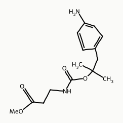 COC(=O)CCNC(=O)OC(C)(C)Cc1ccc(N)cc1